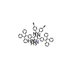 C#Cc1ccc(-c2nc3c(nc2-c2ccc(C#C)cc2)=C(c2ccc(C(=C(c4ccccc4)c4ccccc4)c4ccccc4)cc2)/C(=N/S)C(=N)C=3c2ccc(C(=C(c3ccccc3)c3ccccc3)c3ccccc3)cc2)cc1